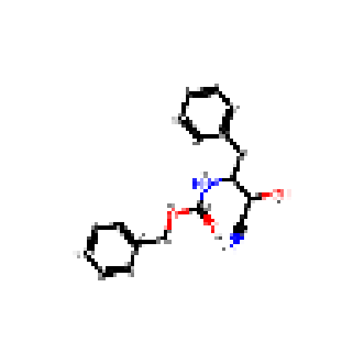 N#CC(O)C(Cc1ccccc1)NC(=O)OCc1ccccc1